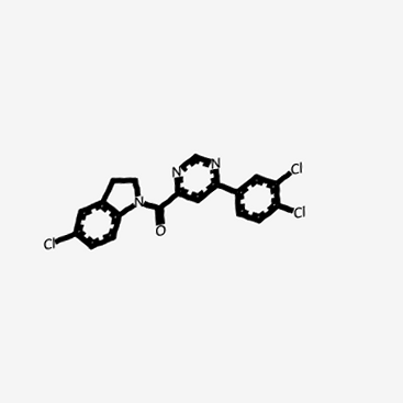 O=C(c1cc(-c2ccc(Cl)c(Cl)c2)ncn1)N1CCc2cc(Cl)ccc21